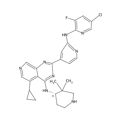 CC1(C)CNCC[C@@H]1Nc1nc(-c2ccnc(Nc3ncc(Cl)cc3F)c2)nc2cncc(C3CC3)c12